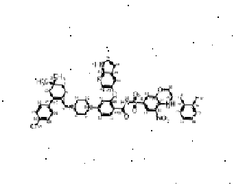 CC1(C)CCC(CN2CCN(c3ccc(C(=O)NS(=O)(=O)c4cc5c(c([N+](=O)[O-])c4)N[C@@H](Cc4ccccc4F)CO5)c(Oc4cnc5[nH]ccc5c4)c3)CC2)=C(c2ccc(Cl)cc2)C1